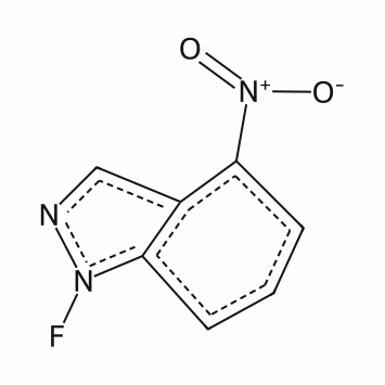 O=[N+]([O-])c1cccc2c1cnn2F